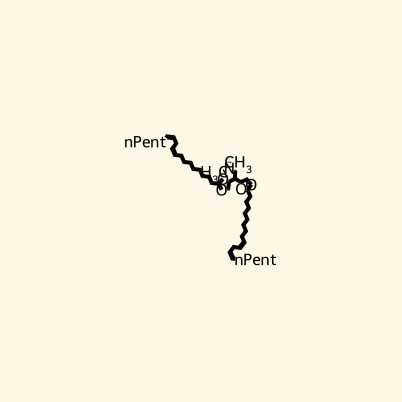 CCCCC/C=C\C/C=C\CCCCCCCCC1OCC(C(CN(C)C)C2COC(CCCCCCCC/C=C\C/C=C\CCCCC)O2)O1